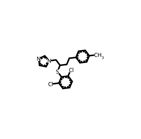 Cc1ccc(CCC(Cn2ccnc2)Sc2c(Cl)cccc2Cl)cc1